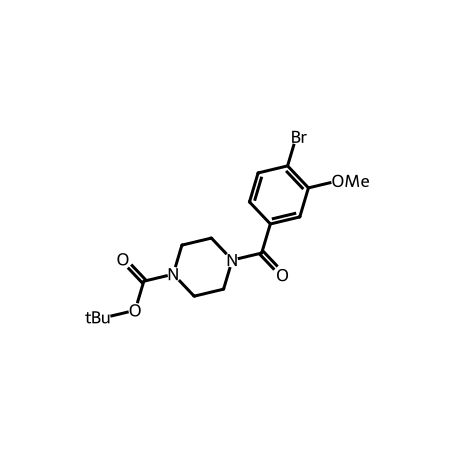 COc1cc(C(=O)N2CCN(C(=O)OC(C)(C)C)CC2)ccc1Br